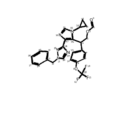 O=COCC(c1ccc(OC(F)(F)F)cc1)c1c(-c2ncn(Cc3ccccc3)n2)ncn1C1CC1